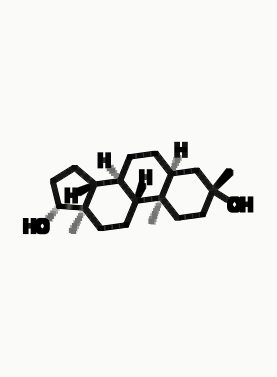 C[C@@]1(O)CC[C@]2(C)[C@@H](CC[C@@H]3[C@H]4CC[C@@H](O)[C@]4(C)CC[C@H]32)C1